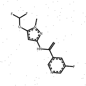 C=C(Nc1cc(OC(F)F)n(C)n1)c1cncc(F)c1